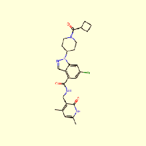 Cc1cc(C)c(CNC(=O)c2cc(Br)cc3c2cnn3C2CCN(C(=O)C3CCC3)CC2)c(=O)[nH]1